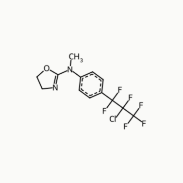 CN(C1=NCCO1)c1ccc(C(F)(F)C(F)(Cl)C(F)(F)F)cc1